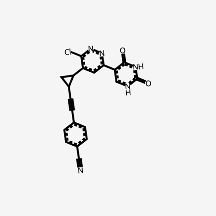 N#Cc1ccc(C#CC2CC2c2cc(-c3c[nH]c(=O)[nH]c3=O)nnc2Cl)cc1